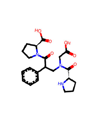 O=C(O)CN(CC(C(=O)N1CCC[C@H]1C(=O)O)c1ccccc1)C(=O)[C@@H]1CCCN1